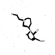 CNc1cccn(C2CCCN(CCF)C2)c1=O